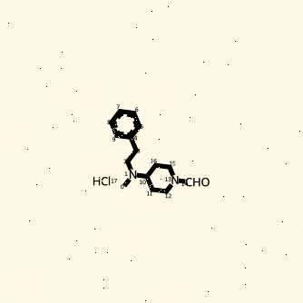 CN(CCc1ccccc1)C1CCN(C=O)CC1.Cl